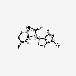 CC(=O)c1n[nH]c2c1CC/C2=C1/C(=O)Nc2ccc(F)cc21